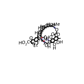 CCn1cc(C(=O)O)c(=O)c2cc(F)c(N3CCN(/N=C/c4c5c(O)c6c(O)c(C)c7c(c6c4O)C(=O)[C@@](C)(O/C=C/[C@H](OC)[C@@H](C)[C@@H](OC(C)=O)[C@H](C)[C@H](O)[C@H](C)[C@@H](O)[C@@H](C)/C=C/C=C(/C)C(=O)N5)O7)C(C)C3)c(F)c21